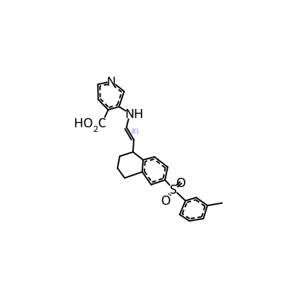 Cc1cccc(S(=O)(=O)c2ccc3c(c2)CCCC3/C=C/Nc2cnccc2C(=O)O)c1